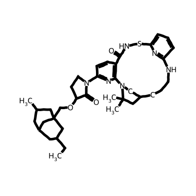 CCC1CC2CC(C)CC(COC3CCN(c4ccc5c(n4)N4CC(CCCNc6cccc(n6)SNC5=O)CC4(C)C)C3=O)(C1)C2